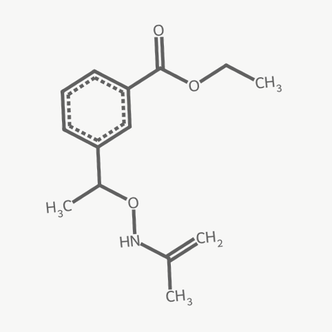 C=C(C)NOC(C)c1cccc(C(=O)OCC)c1